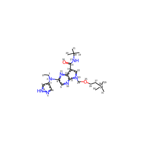 CCN(c1cn[nH]c1)c1cnc2c(n1)c(C(=O)NC(C)(C)C)cn2COCC[Si](C)(C)C